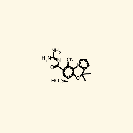 CC1(C)Oc2ccc(C(=O)N=C(N)N)c(C#N)c2-n2cccc21.CS(=O)(=O)O